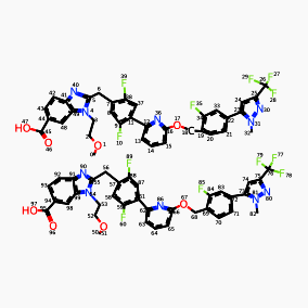 COCCn1c(Cc2cc(F)c(-c3cccc(OCc4ccc(-c5cc(C(F)(F)F)nn5C)cc4F)n3)cc2F)nc2ccc(C(=O)O)cc21.COCCn1c(Cc2cc(F)c(-c3cccc(OCc4ccc(-c5cc(C(F)(F)F)nn5C)cc4F)n3)cc2F)nc2ccc(C(=O)O)cc21